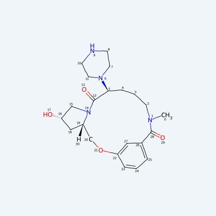 CN1CCC[C@H](N2CCNCC2)C(=O)N2C[C@@H](O)C[C@H]2COc2cccc(c2)C1=O